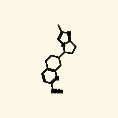 CNc1ccc2c(n1)CC(C1CCc3nc(C)cn31)CC2